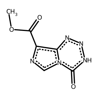 COC(=O)c1ncn2c(=O)[nH]nnc12